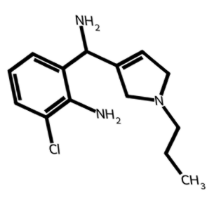 CCCN1CC=C(C(N)c2cccc(Cl)c2N)C1